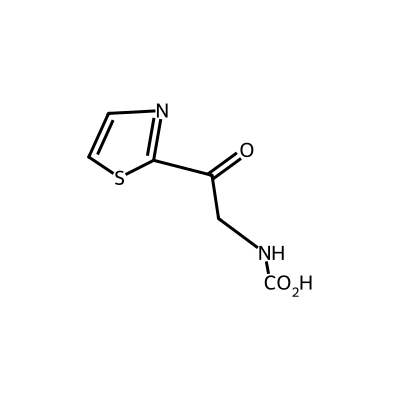 O=C(O)NCC(=O)c1nccs1